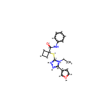 CCn1c(SC2(C(=O)Nc3ccccc3)CCC2)nnc1-c1ccoc1